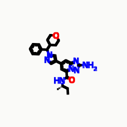 CC[C@H](C)NC(=O)c1cc(-c2cnn(C(c3ccccc3)C3CCOCC3)c2)cc2nc(N)nn12